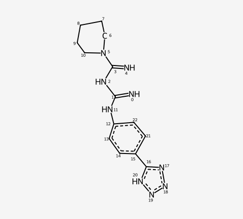 N=C(NC(=N)N1CCCCC1)Nc1ccc(-c2nnn[nH]2)cc1